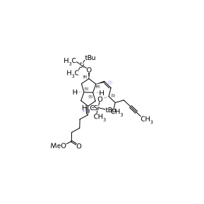 CC#CCC(C)[C@@H](/C=C\[C@H]1[C@H]2C/C(=C/CCCC(=O)OC)C[C@H]2C[C@H]1O[Si](C)(C)C(C)(C)C)O[Si](C)(C)C(C)(C)C